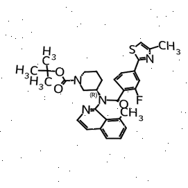 Cc1csc(-c2ccc(C(=O)N(c3nccc4cccc(C)c34)[C@@H]3CCCN(C(=O)OC(C)(C)C)C3)c(F)c2)n1